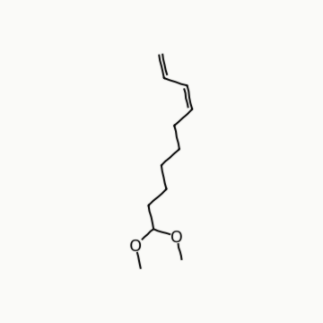 C=C/C=C\CCCCCC(OC)OC